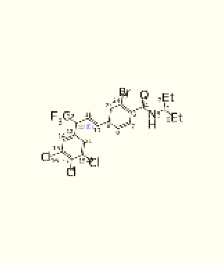 CCC(CC)NC(=O)c1ccc(/C=C/C(c2cc(Cl)c(Cl)c(Cl)c2)C(F)(F)F)cc1Br